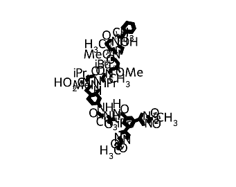 CC[C@H](C)C([C@@H](CC(=O)N1CCC[C@H]1[C@H](OC)[C@@H](C)C(=O)N[C@H](C)[C@@H](O)c1ccccc1)OC)N(C)C(=O)C(NC(=O)C(C(C)C)N(CCc1ccc(NC(=O)[C@H](C)NC(=O)[C@@H](NC(=O)c2cc(-c3cnc(S(C)(=O)=O)nc3)cc(-c3cnc(S(C)(=O)=O)nc3)c2)C(C)C)cc1CNC)C(=O)O)C(C)C